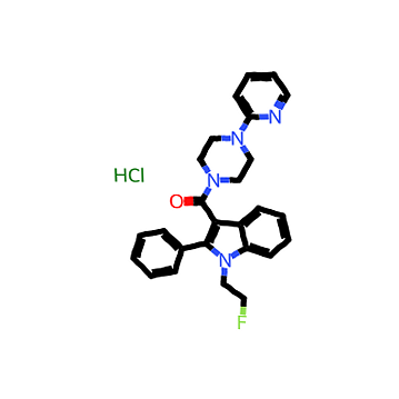 Cl.O=C(c1c(-c2ccccc2)n(CCF)c2ccccc12)N1CCN(c2ccccn2)CC1